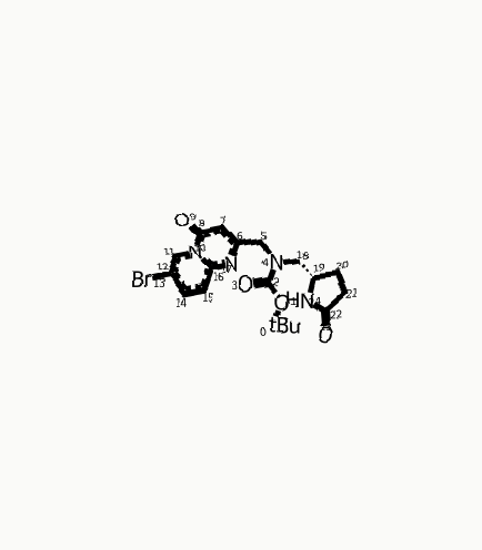 CC(C)(C)OC(=O)N(Cc1cc(=O)n2cc(Br)ccc2n1)C[C@@H]1CCC(=O)N1